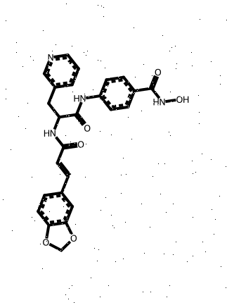 O=C(/C=C/c1ccc2c(c1)OCO2)NC(Cc1cccnc1)C(=O)Nc1ccc(C(=O)NO)cc1